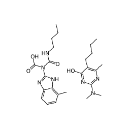 CCCCNC(=O)N(C(=O)O)c1nc2cccc(C)c2[nH]1.CCCCc1c(C)nc(N(C)C)nc1O